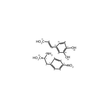 N[C@@H](Cc1ccc([N+](=O)[O-])cc1)C(=O)O.O=C(O)/C=C/c1ccc(O)c(O)c1